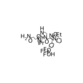 CCOc1nc(C(=O)N2CCNC[C@H]2CN(C(=O)CCC(N)=O)C(C)C)c(-c2ccccc2)n1-c1ccccc1.O=C(O)C(F)(F)F